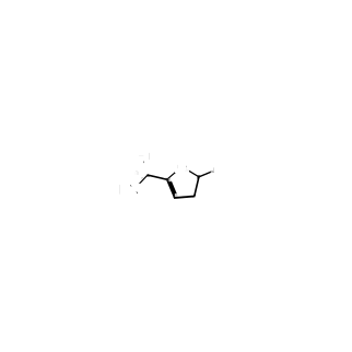 CC[C@@H](N)C1=CCC(C)O1